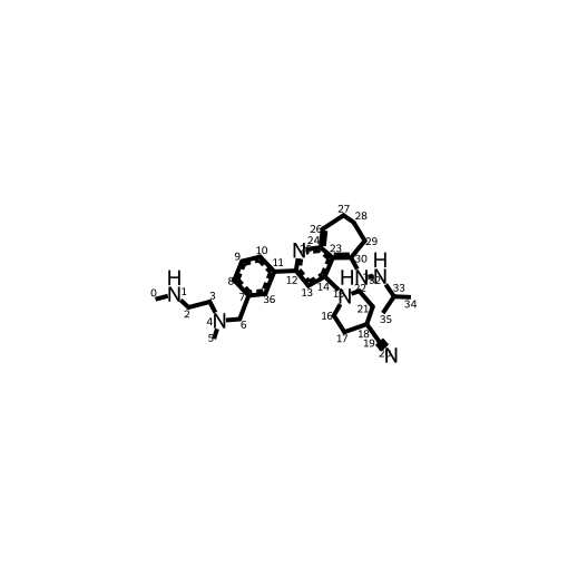 CNCCN(C)Cc1cccc(-c2cc(N3CCC(C#N)CC3)c3c(n2)=CCCCC=3NNC(C)C)c1